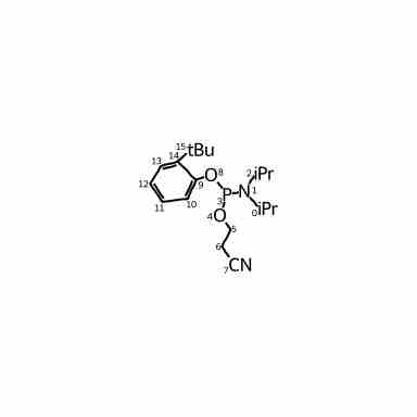 CC(C)N(C(C)C)P(OCCC#N)Oc1ccccc1C(C)(C)C